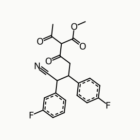 COC(=O)C(C(C)=O)C(=O)CC(c1ccc(F)cc1)C(C#N)c1cccc(F)c1